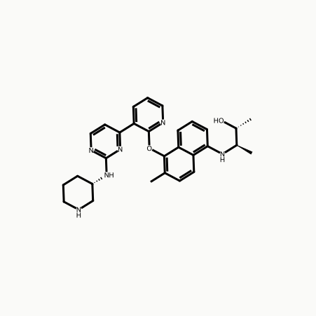 Cc1ccc2c(N[C@H](C)[C@@H](C)O)cccc2c1Oc1ncccc1-c1ccnc(N[C@H]2CCCNC2)n1